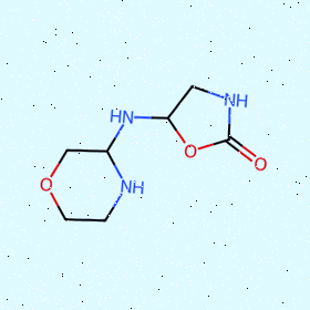 O=C1NCC(NC2COCCN2)O1